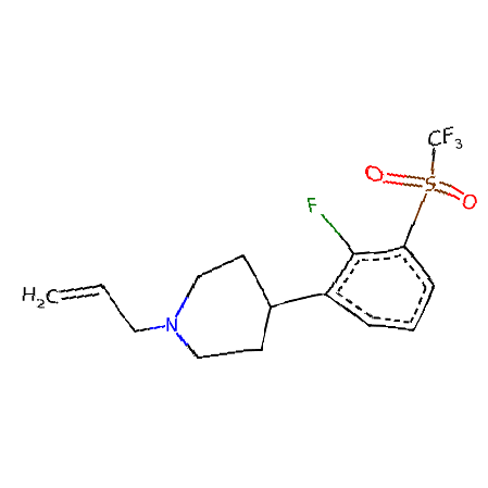 C=CCN1CCC(c2cccc(S(=O)(=O)C(F)(F)F)c2F)CC1